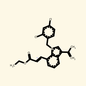 C=C(C)c1cn(Cc2ccc(Cl)cc2Cl)c2c(/C=C/C(=O)OCC)cccc12